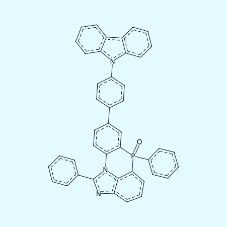 O=P1(c2ccccc2)c2cc(-c3ccc(-n4c5ccccc5c5ccccc54)cc3)ccc2-n2c(-c3ccccc3)nc3cccc1c32